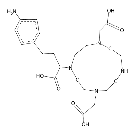 Nc1ccc(CCC(C(=O)O)N2CCN(CC(=O)O)CCNCCN(CC(=O)O)CC2)cc1